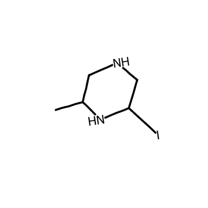 CC1CNCC(I)N1